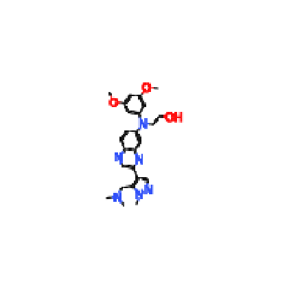 COc1cc(OC)cc(N(CCO)c2ccc3ncc(-c4cnn(C)c4CN(C)C)nc3c2)c1